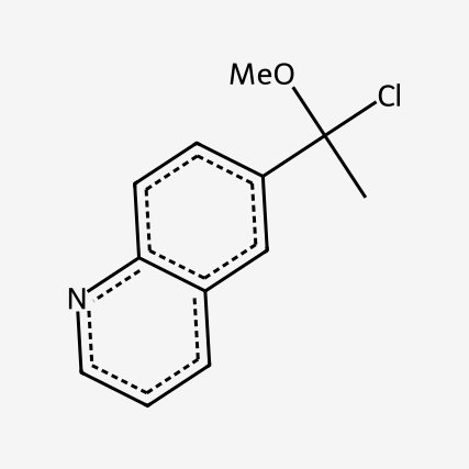 COC(C)(Cl)c1ccc2ncccc2c1